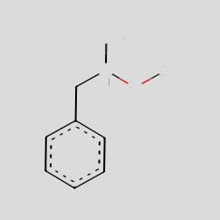 CCO[SiH](Cc1ccccc1)C(C)(C)C